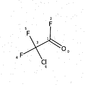 O=C(F)C(F)(F)Cl